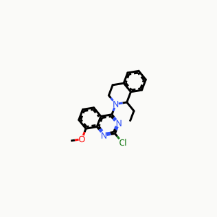 CCC1c2ccccc2CCN1c1nc(Cl)nc2c(OC)cccc12